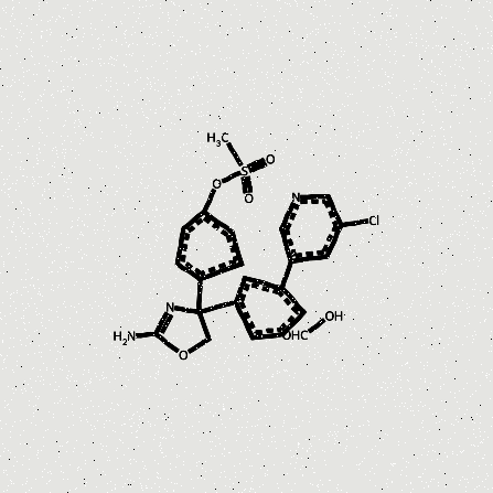 CS(=O)(=O)Oc1ccc(C2(c3cccc(-c4cncc(Cl)c4)c3)COC(N)=N2)cc1.O=CO